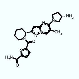 Cc1cn2nc([C@@H]3CCCCN3C(=O)c3ccc(C(N)=O)s3)cc2nc1N1CC[C@H](N)C1